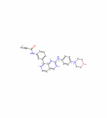 C#CC(=O)Nc1cccc(-c2nccc3cnc(Nc4ccc(N5CCOCC5)cc4)nc23)c1